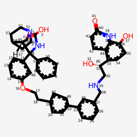 O=C(O)NC(c1ccccc1)(c1cccc(OCCc2ccc(-c3cccc(CNC[C@H](O)c4ccc(O)c5[nH]c(=O)ccc45)c3)cc2)c1)[C@H]1CN2CCC1CC2